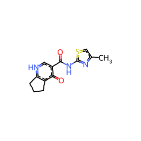 Cc1csc(NC(=O)c2c[nH]c3c(c2=O)CCC3)n1